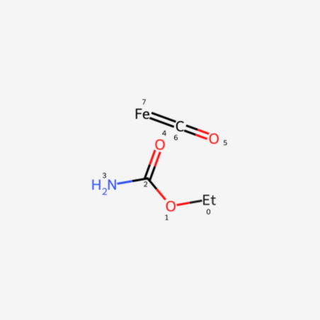 CCOC(N)=O.O=[C]=[Fe]